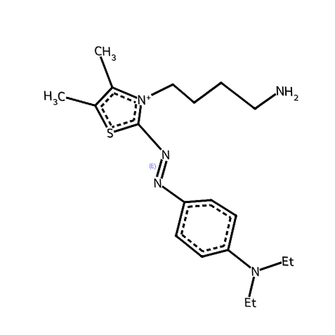 CCN(CC)c1ccc(/N=N/c2sc(C)c(C)[n+]2CCCCN)cc1